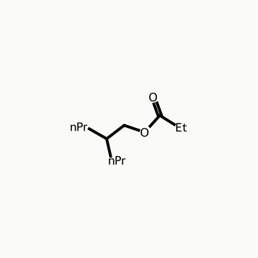 CCCC(CCC)COC(=O)CC